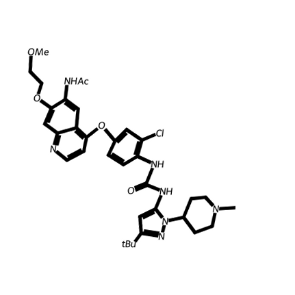 COCCOc1cc2nccc(Oc3ccc(NC(=O)Nc4cc(C(C)(C)C)nn4C4CCN(C)CC4)c(Cl)c3)c2cc1NC(C)=O